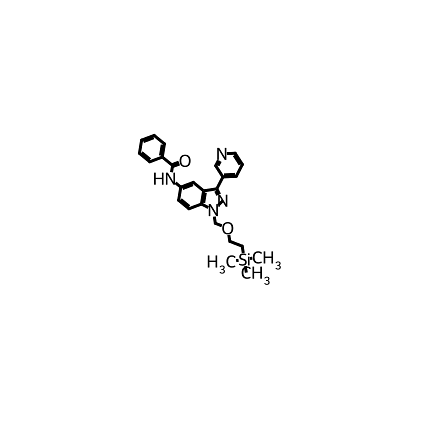 C[Si](C)(C)CCOCn1nc(-c2cccnc2)c2cc(NC(=O)c3ccccc3)ccc21